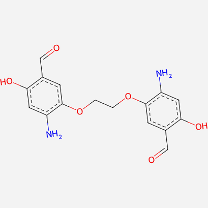 Nc1cc(O)c(C=O)cc1OCCOc1cc(C=O)c(O)cc1N